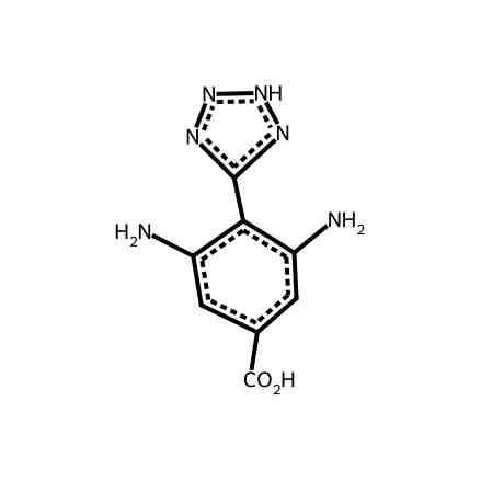 Nc1cc(C(=O)O)cc(N)c1-c1nn[nH]n1